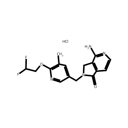 Cc1cc(CN2Cc3c(ccnc3N)C2=O)cnc1OCC(F)F.Cl